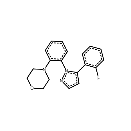 Fc1ccccc1-c1ccnn1-c1ccccc1N1CCOCC1